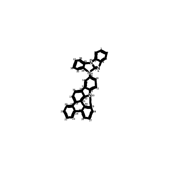 c1ccc2c(c1)nc1n(-c3ccc4c(c3)c3ccc5c6ccccc6c6cccc7c6c5c3n47)c3ccccc3n21